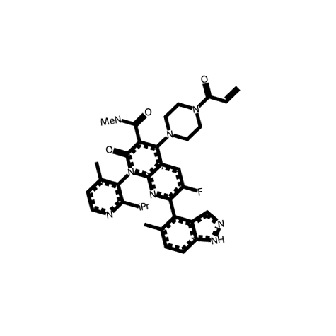 C=CC(=O)N1CCN(c2c(C(=O)NC)c(=O)n(-c3c(C)ccnc3C(C)C)c3nc(-c4c(C)ccc5[nH]ncc45)c(F)cc23)CC1